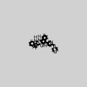 CC(C)(C)C1(CCCO)C=CC=CC1NC(=O)Nc1ccc(-c2ccc(CN3CCOCC3)nc2)c2ccccc12